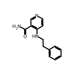 NC(=O)c1cnccc1NCCc1ccccc1